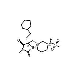 C=C1N[C@](CCC2CCCCC2)(C[C@H]2CCC[C@@H](NS(C)(=O)=O)C2)C(=O)N1C